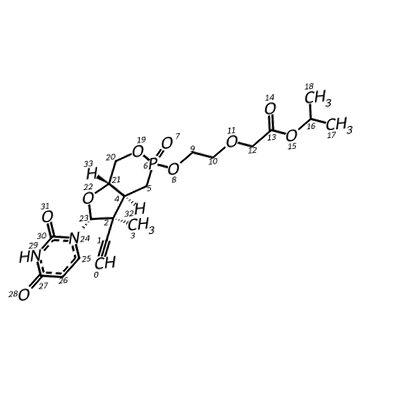 C#C[C@]1(C)[C@@H]2CP(=O)(OCCOCC(=O)OC(C)C)OC[C@H]2O[C@H]1n1ccc(=O)[nH]c1=O